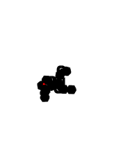 c1ccc(-c2ccc3oc4c(-c5ccc(-n6c7ccccc7c7cc8ccccc8cc76)c6c5oc5ccccc56)nc(-c5ccc6oc7ccccc7c6c5)nc4c3c2)cc1